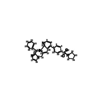 O=S(=O)(c1ccc(-c2ccnc3[nH]c(Cn4ccnc4Cc4ccccc4)cc23)cc1)N1CCCC1